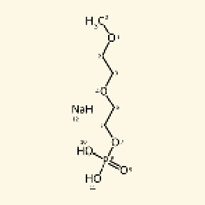 COCCOCCOP(=O)(O)O.[NaH]